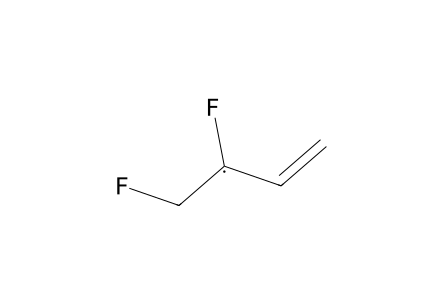 C=C[C](F)CF